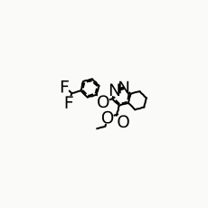 CCOC(=O)c1c(Oc2cccc(C(F)F)c2)nnc2c1CCCC2